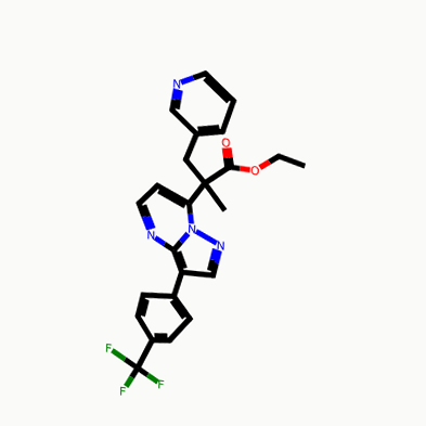 CCOC(=O)C(C)(Cc1cccnc1)c1ccnc2c(-c3ccc(C(F)(F)F)cc3)cnn12